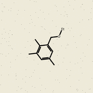 CCOCc1cc(C)cc(C)c1C